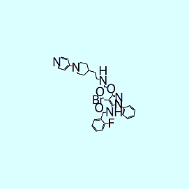 O=C(NCCC1CCN(c2ccncc2)CC1)Oc1nn(-c2ccccc2)c(NC(=O)c2ccccc2F)c1Br